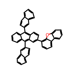 c1ccc2cc(-c3c4ccccc4c(-c4ccc5ccccc5c4)c4cc(-c5cccc6c5oc5ccccc56)ccc34)ccc2c1